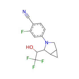 N#Cc1ccc(N2CC3CC3C2C(O)C(F)(F)F)cc1F